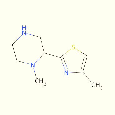 Cc1csc(C2CNCCN2C)n1